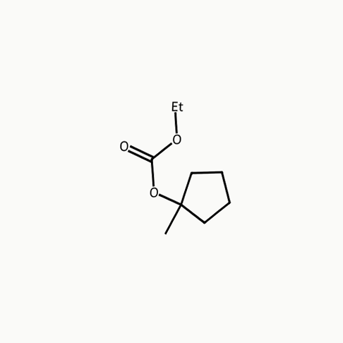 CCOC(=O)OC1(C)CCCC1